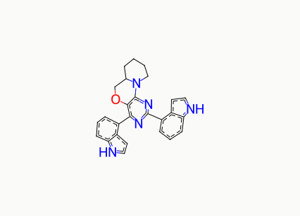 c1cc(-c2nc(-c3cccc4[nH]ccc34)c3c(n2)N2CCCCC2CO3)c2cc[nH]c2c1